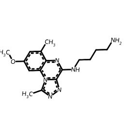 COc1cc(C)c2nc(NCCCCN)c3nnc(C)n3c2c1